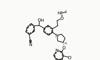 N#Cc1cccc(C(O)c2ccc(N3CC[C@H](Oc4ncccc4Cl)C3)c(CCOPI)c2)c1